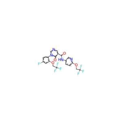 O=C(Nc1ccc(OCC(F)(F)F)nc1)c1cncn(-c2ccc(F)cc2OCC(F)(F)F)c1=O